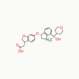 C[C@](O)(c1cccc2c1CC[C@@H]2Oc1ccc2c(c1)OCC2CC(=O)O)C1CCOCC1